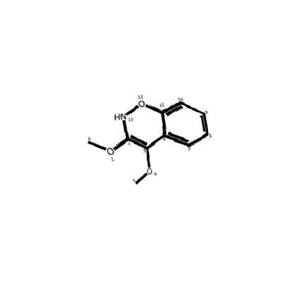 COC1=C(OC)c2ccccc2ON1